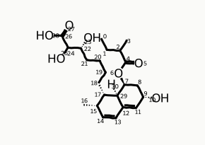 CCC(C)C(=O)O[C@H]1C[C@H](O)C=C2C=C[C@H](C)[C@H](CCCC[C@@H](O)C(O)C(=O)O)[C@H]21